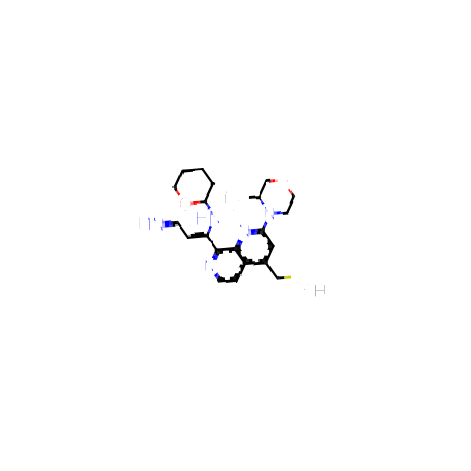 CSCc1cc(N2CCOCC2C)nc2c(/C(=C/C=N)NC3CCCCO3)nccc12